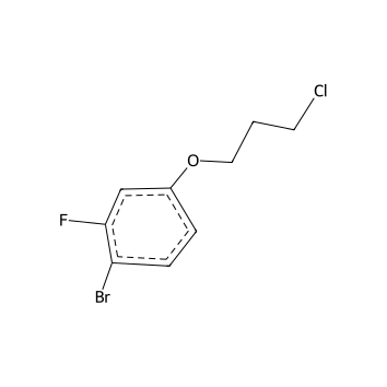 Fc1cc(OCCCCl)ccc1Br